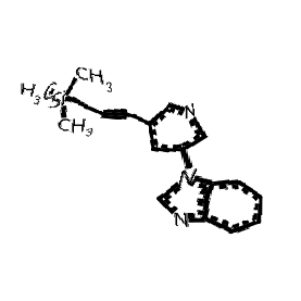 C[Si](C)(C)C#Cc1cncc(-n2cnc3ccccc32)c1